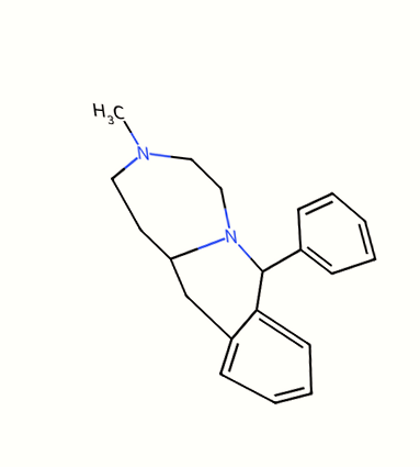 CN1CCC2Cc3ccccc3C(c3ccccc3)N2CC1